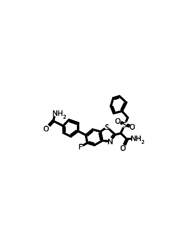 NC(=O)c1ccc(-c2cc3sc(C(C(N)=O)S(=O)(=O)Cc4ccccc4)nc3cc2F)cc1